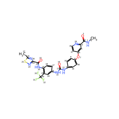 CNC(=O)c1cc(Oc2ccc(NC(=O)Nc3ccc(NC(=O)c4nsc(C)n4)c(C(F)(F)F)c3)cc2)ccn1